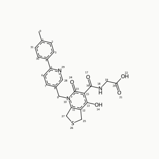 Cc1ccc(-c2ccc(Cn3c4c(c(O)c(C(=O)NCC(=O)O)c3=O)CSC4)cn2)cc1